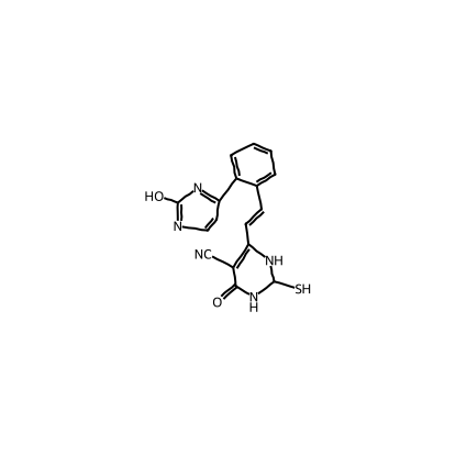 N#CC1=C(/C=C/c2ccccc2-c2ccnc(O)n2)NC(S)NC1=O